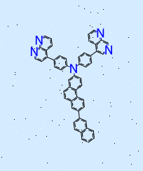 c1ccc2cc(-c3ccc4c(ccc5cc(N(c6ccc(-c7cncc8ncccc78)cc6)c6ccc(-c7ccnc8ncccc78)cc6)ccc54)c3)ccc2c1